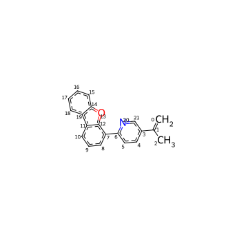 C=C(C)c1ccc(-c2cccc3c2oc2ccccc23)nc1